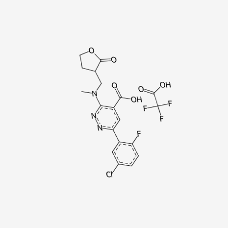 CN(CC1CCOC1=O)c1nnc(-c2cc(Cl)ccc2F)cc1C(=O)O.O=C(O)C(F)(F)F